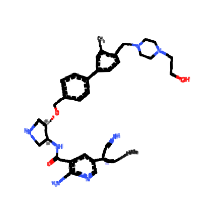 CN/C=C(\C=N)c1cnc(N)c(C(=O)N[C@H]2CNC[C@@H]2OCc2ccc(-c3ccc(CN4CCN(CCO)CC4)c(C(F)(F)F)c3)cc2)c1